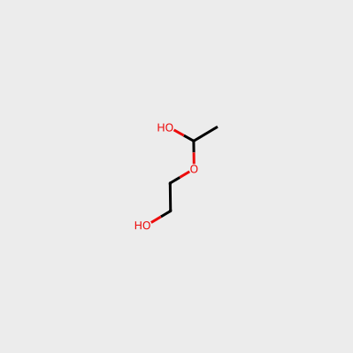 CC(O)OCCO